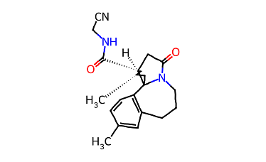 Cc1ccc2c(c1)CCCN1C(=O)C[C@H]3[C@H](C(=O)NCC#N)[C@@H](C)CC231